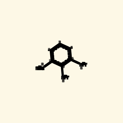 CCCCc1[c]ccc(CCC)c1CCC